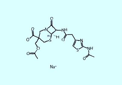 CC(=O)Nc1nc(CC(=O)NC2C(=O)N3CC(COC(C)=O)(C(=O)[O-])CS[C@H]23)cs1.[Na+]